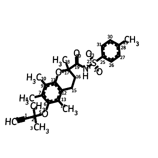 C#CC(C)(C)Oc1c(C)c(C)c2c(c1C)CCC(C)(C(=O)NS(=O)(=O)c1ccc(C)cc1)O2